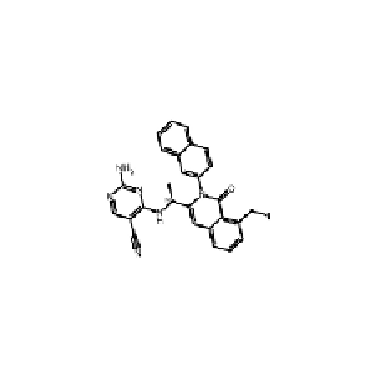 C[C@H](Nc1nc(N)ncc1C#N)c1cc2cccc(CI)c2c(=O)n1-c1ccc2ccccc2c1